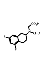 O=CN(CC(=O)O)C1CCc2c(F)cc(F)cc2C1